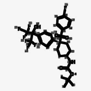 CC(C)(C)OC(=O)N[C@H]1CC[C@@](c2ccc(C(O)(C(F)(F)F)C(F)(F)F)cc2)(S(=O)(=O)c2ccc(F)cc2)CC1